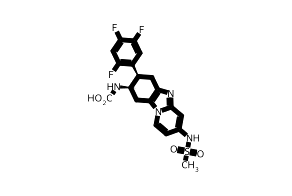 CS(=O)(=O)Nc1ccn2c3c(nc2c1)C[C@H](c1cc(F)c(F)cc1F)[C@H](NC(=O)O)C3